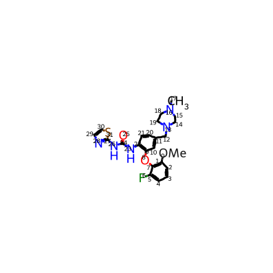 COc1cccc(F)c1Oc1cc(CN2CCN(C)CC2)ccc1NC(=O)Nc1nccs1